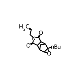 C=CCN1C(=O)C2C3CC(C2C1=O)C1(CCCC)OC31